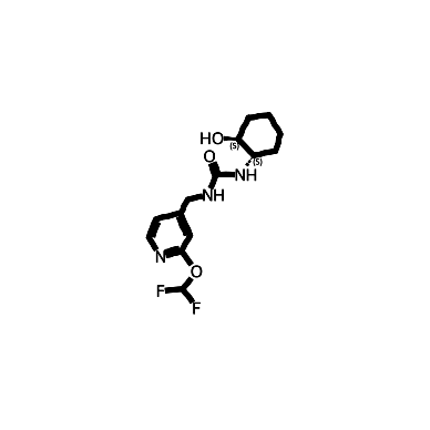 O=C(NCc1ccnc(OC(F)F)c1)N[C@H]1CCCC[C@@H]1O